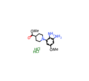 COC(=O)C1CCN(c2cc(OC)cc(N)c2N)CC1.Cl.Cl